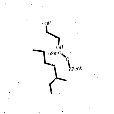 CCCCC(C)CC.CCCCCOCCCCC.OCCO